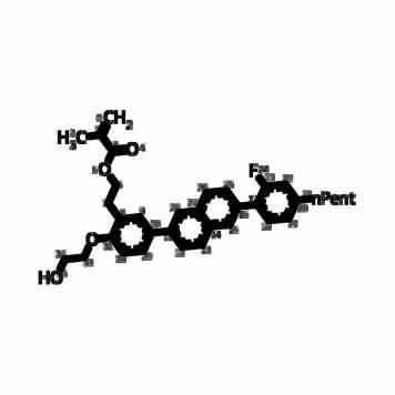 C=C(C)C(=O)OCCc1cc(-c2ccc3cc(-c4ccc(CCCCC)cc4F)ccc3c2)ccc1OCCO